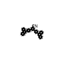 N#Cc1cc(-c2ccc(-c3cc4ccccc4c4ccccc34)cc2)cc(-c2ccc(-c3cc4ccccc4c4ccccc34)cc2)c1